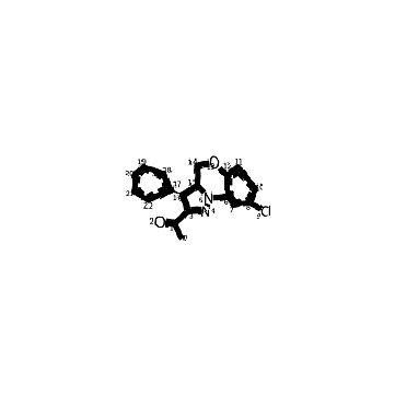 CC(=O)C1=NN2c3cc(Cl)ccc3OCC2[C@H]1c1ccccc1